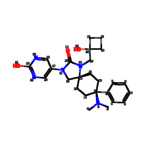 CN(C)[C@]1(c2ccccc2)CC[C@@]2(CC1)CN(c1cnc(O)nc1)C(=O)N2CC1(O)CCC1